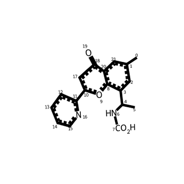 Cc1cc(C(C)NC(=O)O)c2oc(-c3ccccn3)cc(=O)c2c1